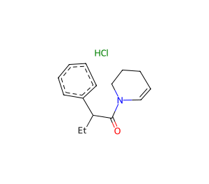 CCC(C(=O)N1C=CCCC1)c1ccccc1.Cl